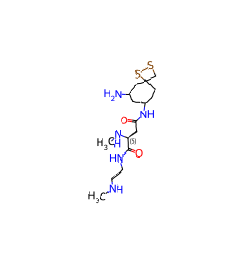 CNCCNC(=O)[C@H](CC(=O)NC1CCC2(CSS2)CC(N)C1)NC